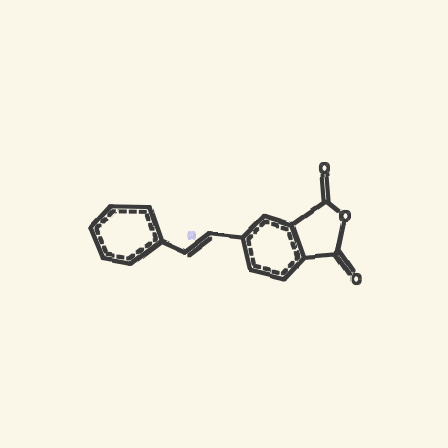 O=C1OC(=O)c2cc(/C=C/c3ccccc3)ccc21